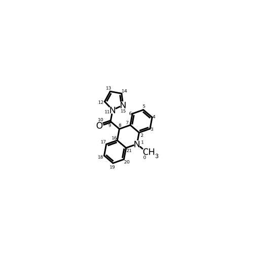 CN1c2ccccc2C(C(=O)n2cccn2)c2ccccc21